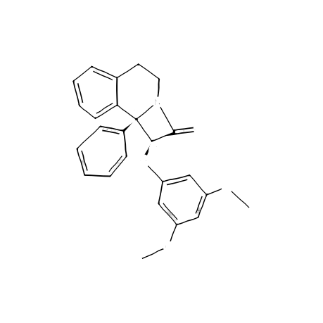 COc1cc(OC)cc(O[C@@H]2C(=O)N3CCc4ccccc4[C@@]23c2ccccc2)c1